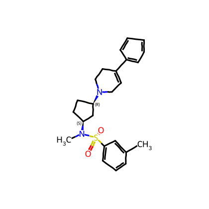 Cc1cccc(S(=O)(=O)N(C)[C@H]2CC[C@@H](N3CC=C(c4ccccc4)CC3)C2)c1